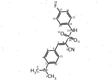 CN(C)c1ccc(/C=C(\C#N)S(=O)(=O)Nc2ccc(F)cc2)cc1